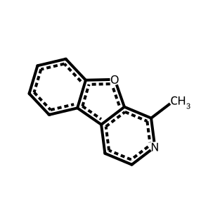 Cc1nccc2c1oc1ccccc12